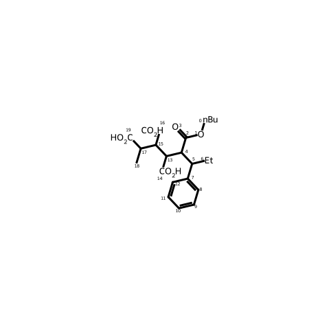 CCCCOC(=O)C(C(CC)c1ccccc1)C(C(=O)O)C(C(=O)O)C(C)C(=O)O